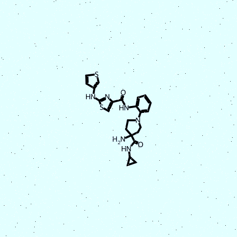 NC1(C(=O)NC2CC2)CCN(c2ccccc2NC(=O)c2csc(Nc3ccsc3)n2)CC1